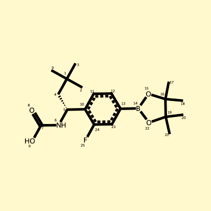 CC(C)(C)C[C@@H](NC(=O)O)c1ccc(B2OC(C)(C)C(C)(C)O2)cc1F